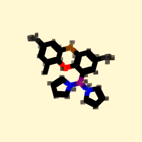 Cc1cc(C(C)(C)C)cc2c1Oc1c(cc(C(C)(C)C)cc1P(n1cccc1)n1cccc1)S2